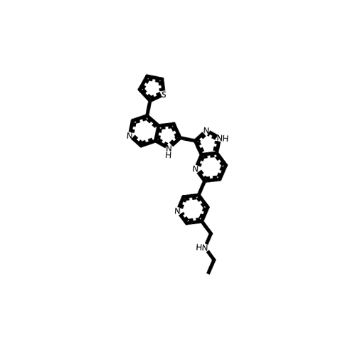 CCNCc1cncc(-c2ccc3[nH]nc(-c4cc5c(-c6cccs6)cncc5[nH]4)c3n2)c1